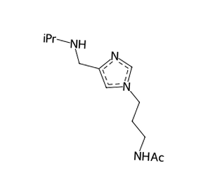 CC(=O)NCCCn1cnc(CNC(C)C)c1